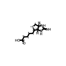 N=C1N[C@H]2CSC(CCCCC(=O)O)[C@H]2N1